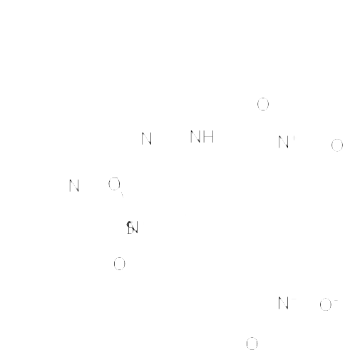 O=[N+]([O-])c1cc([N+](=O)[O-])c(NN(c2ccccc2)c2nc3ccccc3s2)c([N+](=O)[O-])c1